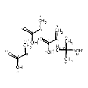 C=CC(=O)O.C=CC(=O)O.C=CC(=O)O.C[C](C)(C)[SnH]